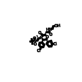 C[C@@H](CS(=O)(=O)C(C)(C)C)N1C(=O)[C@H](CC(=O)NCCO)O[C@H](c2cccc(Cl)c2)[C@H]1c1ccc(Cl)cc1